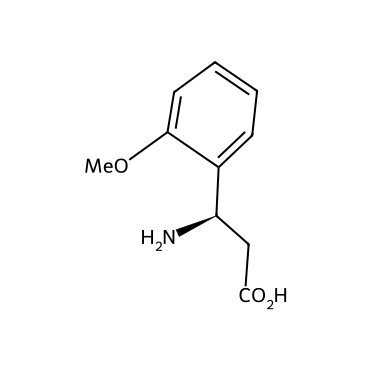 COc1ccccc1[C@H](N)CC(=O)O